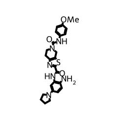 COc1ccc(NC(=O)N2CCc3nc(C(=O)Nc4cc(N5CCCC5)ccc4N)sc3C2)cc1